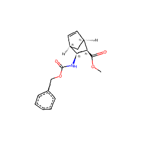 COC(=O)[C@H]1[C@@H](NC(=O)OCc2ccccc2)[C@H]2C=C[C@@H]1C2